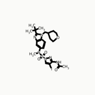 CC(=O)Nc1nn(S(=O)(=O)N(C)c2ccc3c(c2)nc(C(C)(C)C)n3CC2CCOCC2)cc1I